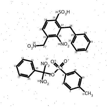 Cc1ccc(S(=O)(=O)OC(c2ccccc2)([N+](=O)[O-])[N+](=O)[O-])cc1.O=[N+]([O-])Cc1ccc(S(=O)(=O)O)c(Cc2ccccc2)c1[N+](=O)[O-]